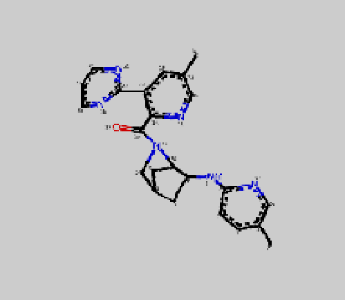 Cc1ccc(NC2CC3CC2N(C(=O)c2ncc(C)cc2-c2ncccn2)C3)nc1